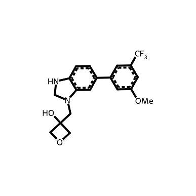 COc1cc(-c2ccc3c(c2)N(CC2(O)COC2)CN3)cc(C(F)(F)F)c1